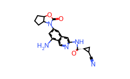 N#CC1C[C@H]1C(=O)Nc1cc2cc(N3C(=O)OC4CCCC43)cc(N)c2cn1